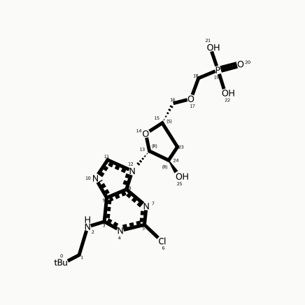 CC(C)(C)CNc1nc(Cl)nc2c1ncn2[C@@H]1O[C@H](COCP(=O)(O)O)C[C@H]1O